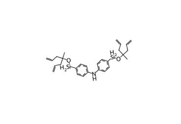 C=CCC(C)(CC=C)O[SiH2]c1ccc(Nc2ccc([SiH2]OC(C)(CC=C)CC=C)cc2)cc1